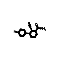 N#Cc1c(C(N)=O)cccc1-c1ccc(F)cc1